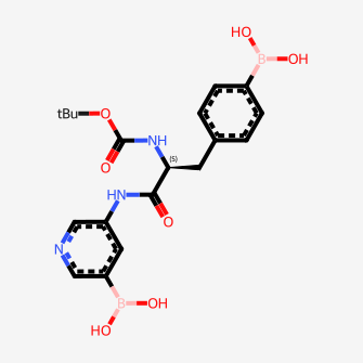 CC(C)(C)OC(=O)N[C@@H](Cc1ccc(B(O)O)cc1)C(=O)Nc1cncc(B(O)O)c1